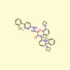 O=C(NNc1ccc(-c2ccccc2C(F)(F)F)nn1)C(=O)N(C1=CC=CC(c2ccccc2C(F)(F)F)(N2CCC2)N1)c1cccc(N2CCC2)n1